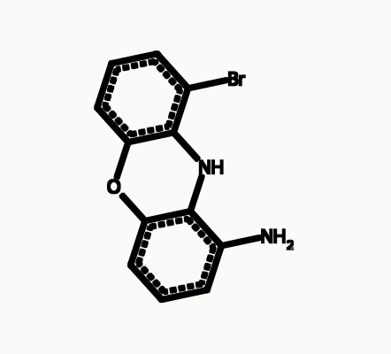 Nc1cccc2c1Nc1c(Br)cccc1O2